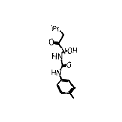 Cc1ccc(NC(=O)NN(O)C(=O)CC(C)C)cc1